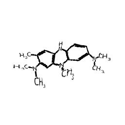 Cc1cc2c(cc1N(C)C)N(C)c1cc(N(C)C)ccc1N2